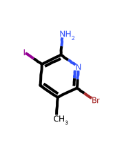 Cc1cc(I)c(N)nc1Br